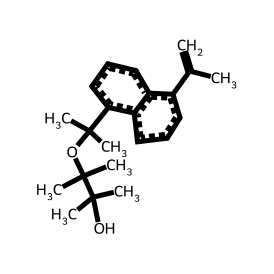 C=C(C)c1cccc2c(C(C)(C)OC(C)(C)C(C)(C)O)cccc12